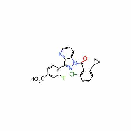 O=C(O)c1ccc(-c2nn(C(=O)c3c(Cl)cccc3C3CC3)c3cccnc23)c(F)c1